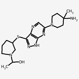 CC(O)N1CCCC(Sc2n[nH]c3nc(N4CCC(C)(N)CC4)cnc23)C1